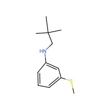 CSc1cccc(NCC(C)(C)C)c1